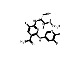 Cc1ncc(Nc2nc(N[C@H](CC(C)C)[C@H](C)NC(=O)O)c(F)cc2C(N)=O)cc1F